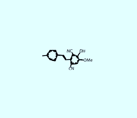 COc1cc(C#N)c(C=Cc2ccc(C)cc2)c(C#N)c1O